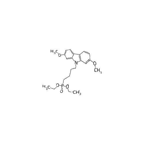 CCOP(=O)(CCCCn1c2cc(OC)ccc2c2ccc(OC)cc21)OCC